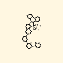 CC1(C)c2c(ccc3cc(-c4cccc(-c5cccc(-c6ccccn6)n5)c4)ccc23)-c2c1c1ccccc1c1ccccc21